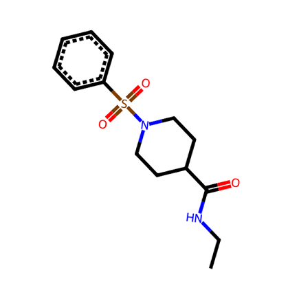 CCNC(=O)C1CCN(S(=O)(=O)c2ccccc2)CC1